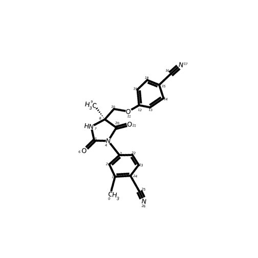 Cc1cc(N2C(=O)N[C@@](C)(COc3ccc(C#N)cc3)C2=O)ccc1C#N